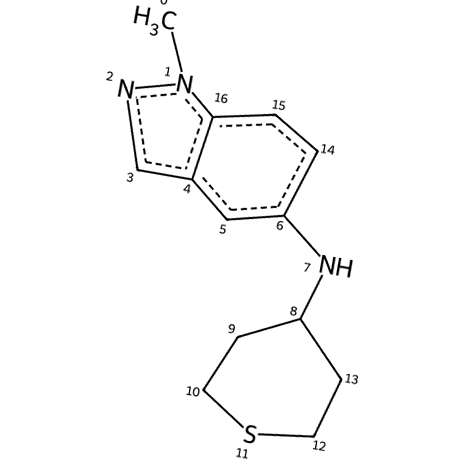 Cn1ncc2cc(NC3CCSCC3)ccc21